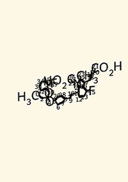 CC=CC(Oc1ccc(C=Cc2ccc(F)c3c(CCCC(=O)O)c(C)n(CC(=O)O)c23)cc1)Oc1ccccc1F